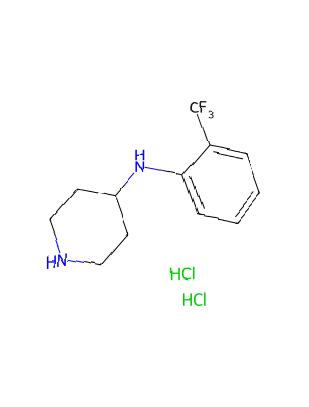 Cl.Cl.FC(F)(F)c1ccccc1NC1CCNCC1